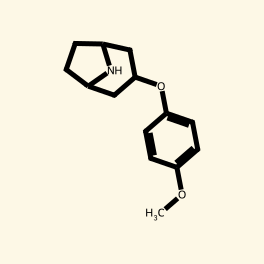 COc1ccc(OC2C[C]3CCC(C2)N3)cc1